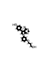 Nc1ncnc2c1c(-c1ccc(O)cc1)cn2-c1cccc(OCCCO)c1